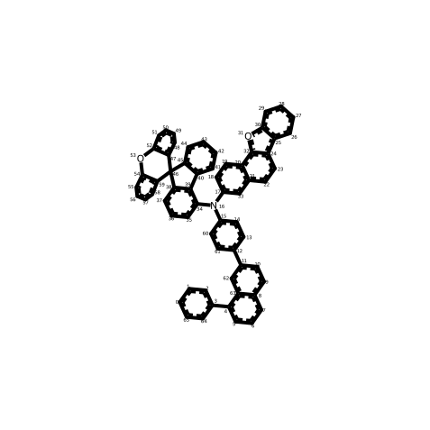 c1ccc(-c2cccc3ccc(-c4ccc(N(c5ccc6c(ccc7c8ccccc8oc67)c5)c5cccc6c5-c5ccccc5C65c6ccccc6Oc6ccccc65)cc4)cc23)cc1